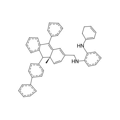 C[C@]12C=CC(CNc3ccccc3NC3=CC=CCC3)=CC1=C(c1ccccc1)c1ccccc1C2c1ccc(-c2ccccc2)cc1